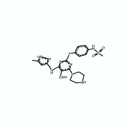 COc1c(Nc2cc(C)[nH]n2)nc(Sc2ccc(NS(C)(=O)=O)cc2)nc1N1CCNCC1